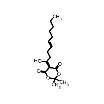 CCCCC/C=C/CCC(O)=C1C(=O)OC(C)(C)OC1=O